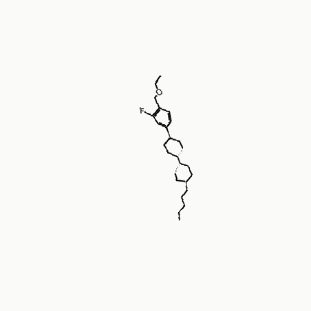 CCCCC[C@H]1CC[C@H]([C@H]2CC[C@H](c3ccc(COCC)c(F)c3)CC2)CC1